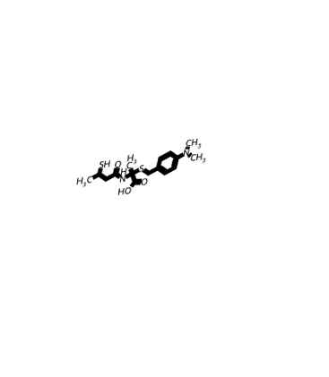 CC(S)CC(=O)NC(C)(SCc1ccc(N(C)C)cc1)C(=O)O